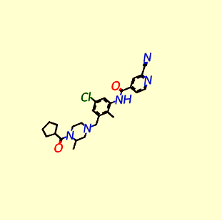 Cc1c(CN2CCN(C(=O)C3CCCC3)C(C)C2)cc(Cl)cc1NC(=O)c1ccnc(C#N)c1